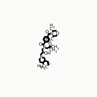 C/C=C\C1=C(C)CCN(C[C@@H](O)CN2CC(C)(C)Oc3cc(C(=O)N4C(C)COCC4C)ccc3C2=O)C1